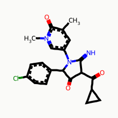 Cc1cc(N2C(=N)C(C(=O)C3CC3)C(=O)C2c2ccc(Cl)cc2)cn(C)c1=O